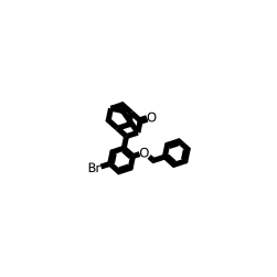 O=C1C2CC3CC(C2)C(c2cc(Br)ccc2OCc2ccccc2)C1C3